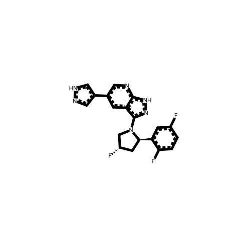 Fc1ccc(F)c([C@H]2C[C@H](F)CN2c2n[nH]c3ncc(-c4cn[nH]c4)cc23)c1